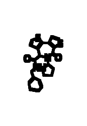 O=C(NCc1ccccc1)C1c2ccsc2-c2ccsc2C(=O)N1C1CCCC1